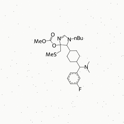 CCCCN1C=NC(CSC)(OC(=O)OC)C1C1CCC(C(c2cccc(F)c2)N(C)C)CC1